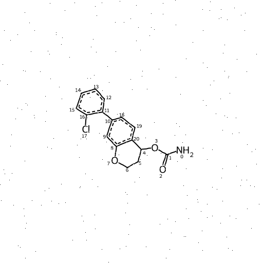 NC(=O)OC1CCOc2cc(-c3ccccc3Cl)ccc21